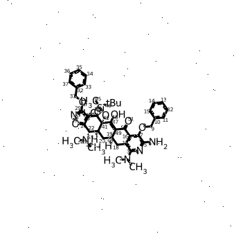 CN(C)c1nc(N)c(OCc2ccccc2)c2c1C[C@H]1C[C@H]3[C@H](N(C)C)c4onc(OCc5ccccc5)c4C(=O)[C@@]3(O[Si](C)(C)C(C)(C)C)C(O)=C1C2=O